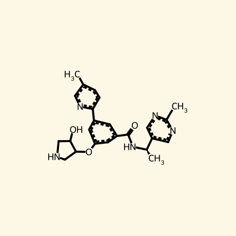 Cc1ccc(-c2cc(OC3CNCC3O)cc(C(=O)N[C@H](C)c3cnc(C)nc3)c2)nc1